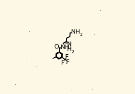 Cc1cc(C(=O)NC[C@@H](N)CCCN)cc(C(F)(F)F)c1